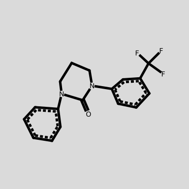 O=C1N(c2ccccc2)CCCN1c1cccc(C(F)(F)F)c1